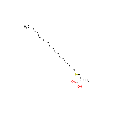 CCCCCCCCCCCCCCCCCCSCC(C)C(=O)O